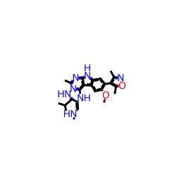 CN/C=C(/Nc1nc(C)nc2[nH]c3cc(-c4c(C)noc4C)c(OC)cc3c12)C(=N)C(C)C